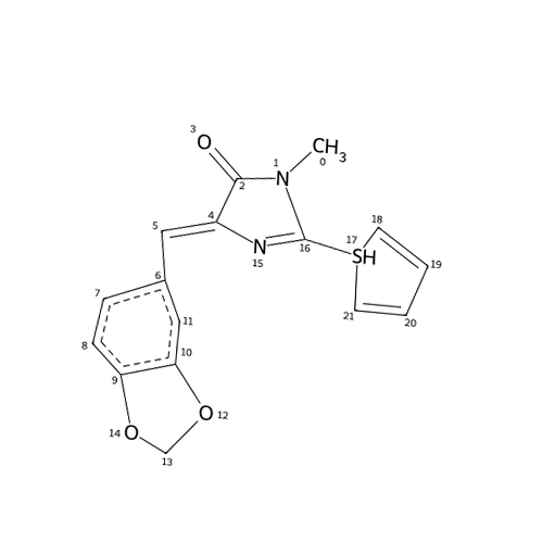 CN1C(=O)C(=Cc2ccc3c(c2)OCO3)N=C1[SH]1C=CC=C1